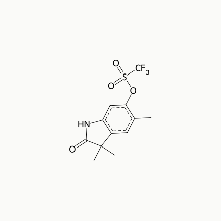 Cc1cc2c(cc1OS(=O)(=O)C(F)(F)F)NC(=O)C2(C)C